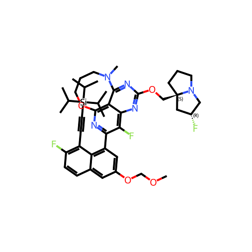 COCOc1cc(-c2nc3c4c(nc(OC[C@@]56CCCN5C[C@H](F)C6)nc4c2F)N(C)CCCO3)c2c(C#C[Si](C(C)C)(C(C)C)C(C)C)c(F)ccc2c1